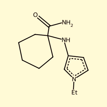 CCn1ccc(NC2(C(N)=O)CCCCC2)c1